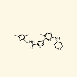 Cc1nc(CNC(=O)c2cn(-c3nc(NC4CCOCC4)ncc3C)cn2)c(C)s1